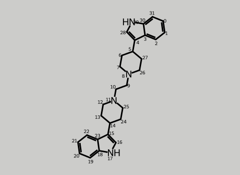 c1ccc2c(C3CCN(CCN4CCC(c5c[nH]c6ccccc56)CC4)CC3)c[nH]c2c1